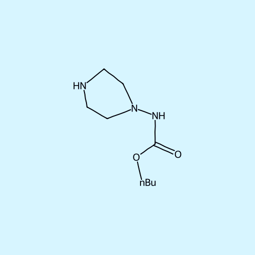 CCCCOC(=O)NN1CCNCC1